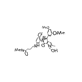 CNC(=O)CCCNc1ccc(C(F)(F)F)c(-n2nc(-c3cc(OC)cc(OC)c3)c3cc(C)n(CO)c3c2=O)c1